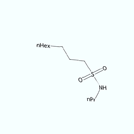 CCCCCCCCCS(=O)(=O)NCCC